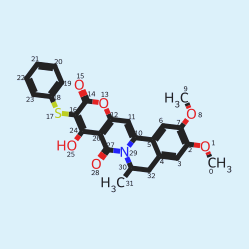 COc1cc2c(cc1OC)-c1cc3oc(=O)c(Sc4ccccc4)c(O)c3c(=O)n1C(C)C2